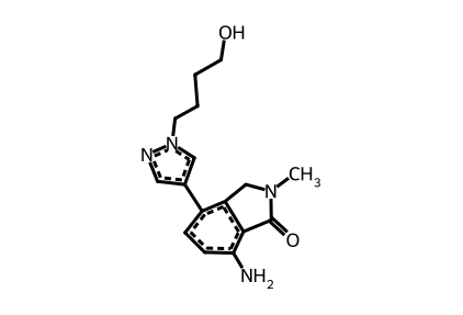 CN1Cc2c(-c3cnn(CCCCO)c3)ccc(N)c2C1=O